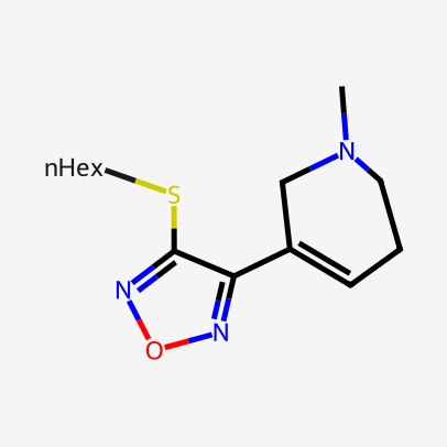 CCCCCCSc1nonc1C1=CCCN(C)C1